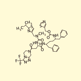 CC(C)c1nc(CN(C)C(=O)NC(CC(=O)N2CCn3c(nnc3C(F)(F)F)C2)C(=O)NC(CCC(Cc2ccccc2)NC(=O)OCc2cncs2)Cc2ccccc2)cs1